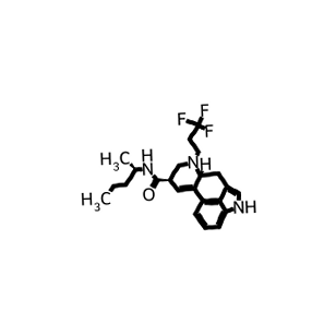 CCC[C@@H](C)NC(=O)[C@@H]1C=C2c3cccc4[nH]cc(c34)C[C@H]2N(CCC(F)(F)F)C1